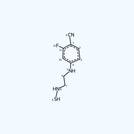 N#Cc1ccc(NCCNS)cc1F